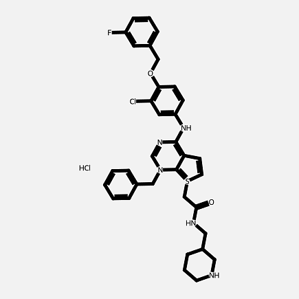 Cl.O=C(CS1=C2C(=C(Nc3ccc(OCc4cccc(F)c4)c(Cl)c3)N=CN2Cc2ccccc2)C=C1)NCC1CCCNC1